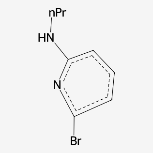 CCCNc1cccc(Br)n1